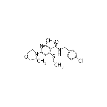 CCSc1cc(N2CCOC[C@H]2C)nc(C)c1C(=O)NCc1ccc(Cl)cc1